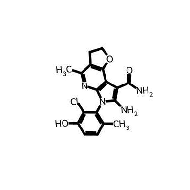 Cc1ccc(O)c(Cl)c1-n1c(N)c(C(N)=O)c2c3c(c(C)nc21)CCO3